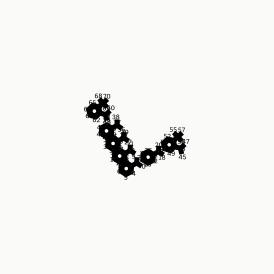 CC(C)c1ccccc1.CC(C)c1ccccc1.CC(C)c1ccccc1.CC(C)c1ccccc1.CC(C)c1ccccc1.CC(C)c1ccccc1C(C)(C)C.CC(C)c1ccccc1C(C)(C)C